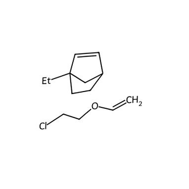 C=COCCCl.CCC12C=CC(CC1)C2